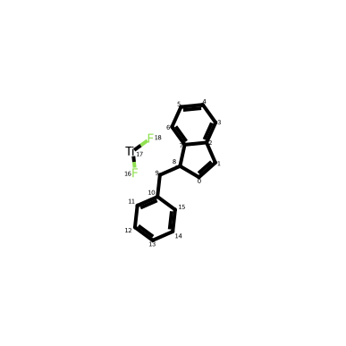 C1=Cc2ccccc2[C]1Cc1ccccc1.[F][Ti][F]